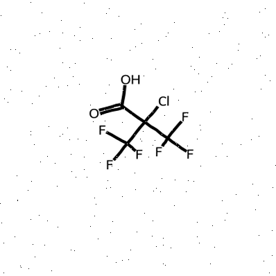 O=C(O)C(Cl)(C(F)(F)F)C(F)(F)F